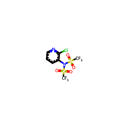 O=S(=O)(N(c1cccnc1Cl)S(=O)(=O)C(F)(F)F)C(F)(F)F